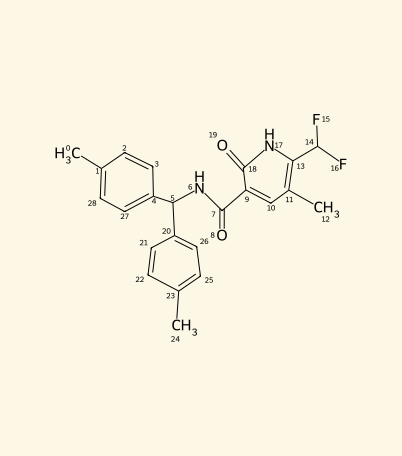 Cc1ccc(C(NC(=O)c2cc(C)c(C(F)F)[nH]c2=O)c2ccc(C)cc2)cc1